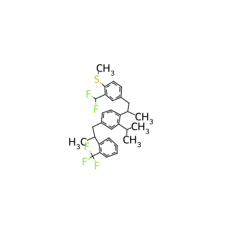 CSc1ccc(CC(C)c2ccc(CC(C)c3ccccc3C(F)(F)F)cc2C(C)C)cc1C(F)F